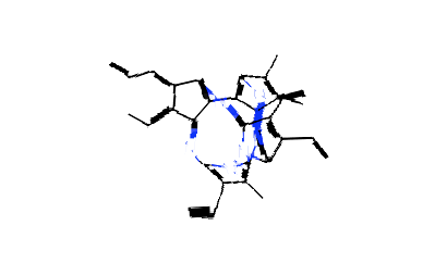 C=C/C=C1\C(=C/C)c2nc3c(C=C)c(C)c4nc5c6c(nc7c(C=C)c(C=C)c(nc1c26)n7n43)C(C)=C5C